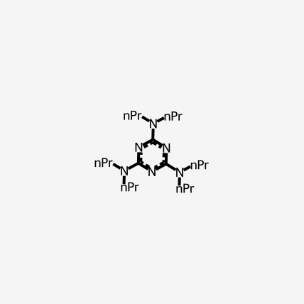 CCCN(CCC)c1nc(N(CCC)CCC)nc(N(CCC)CCC)n1